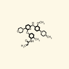 C=CC(=O)Nc1cc(Oc2nc(Nc3ccc(N4CCN(C)CC4)cc3OC)ccc2N2CCOCC2)ccc1C